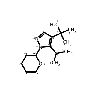 CC(C)c1c(C(C)(C)C)cnn1C1CCCCO1